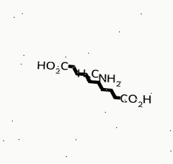 CN.O=C(O)CCCCCCCCC(=O)O